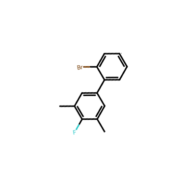 Cc1cc(-c2cc[c]cc2Br)cc(C)c1F